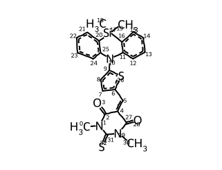 CN1C(=O)C(=Cc2ccc(N3c4ccccc4[Si](C)(C)c4ccccc43)s2)C(=O)N(C)C1=S